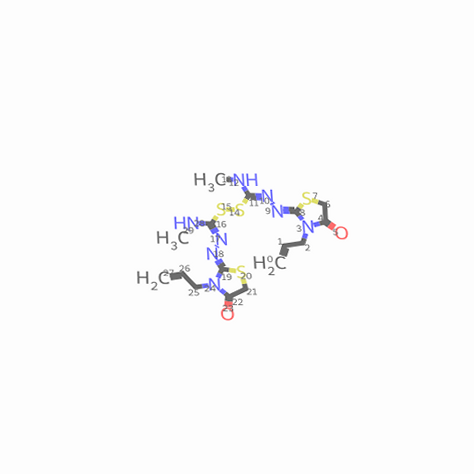 C=CCN1C(=O)CSC1=NN=C(NC)SSC(=NN=C1SCC(=O)N1CC=C)NC